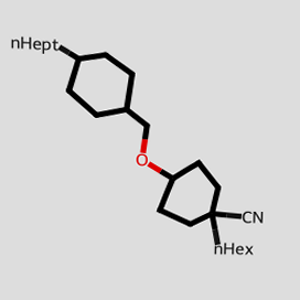 CCCCCCCC1CCC(COC2CCC(C#N)(CCCCCC)CC2)CC1